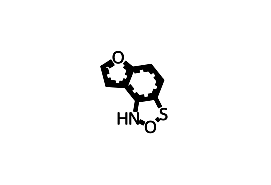 c1cc2c3c(ccc2o1)SON3